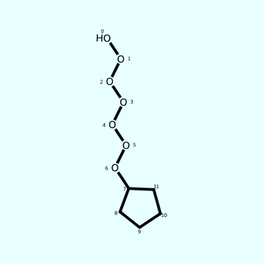 OOOOOOOC1CCCC1